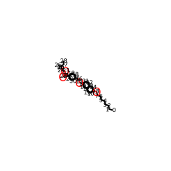 CCCCCCCCOc1ccc2cc(OCc3ccc(C(=O)OC[C@H](C)CC)cc3)ccc2c1